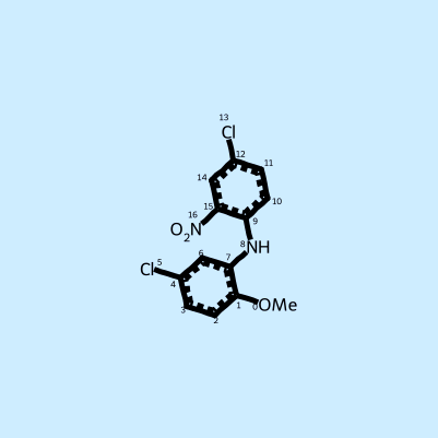 COc1ccc(Cl)cc1Nc1ccc(Cl)cc1[N+](=O)[O-]